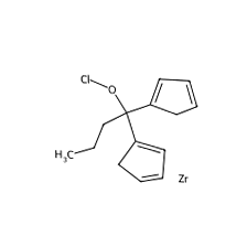 CCCC(OCl)(C1=CC=CC1)C1=CC=CC1.[Zr]